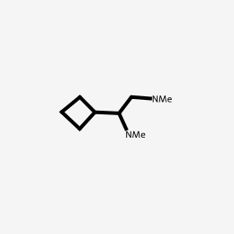 CNCC(NC)C1CCC1